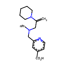 C=C(CN(CCC)Cc1cc(C(=O)O)ccn1)N1CCCCC1